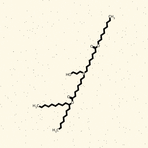 CCCCCCCCCOC(=O)CCCCCCCN(CCCO)CCCCCCCC(=O)OC(CCCCCCCC)CCCCCCCCC